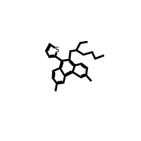 CCCCC(CC)Cc1c(-c2cccs2)c2ccc(C)cc2c2cc(C)ccc12